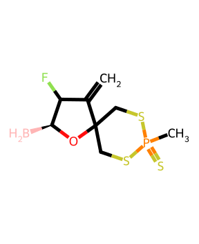 B[C@@H]1OC2(CSP(C)(=S)SC2)C(=C)C1F